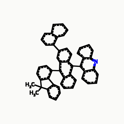 CC1(C)c2ccccc2-c2c(-c3c4ccccc4c(-c4c5ccccc5nc5ccccc45)c4ccc(-c5cccc6ccccc56)cc34)cccc21